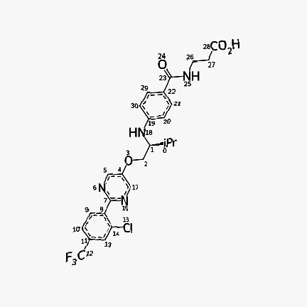 CC(C)[C@@H](COc1cnc(-c2ccc(C(F)(F)F)cc2Cl)nc1)Nc1ccc(C(=O)NCCC(=O)O)cc1